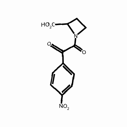 O=C(C(=O)N1CCC1C(=O)O)c1ccc([N+](=O)[O-])cc1